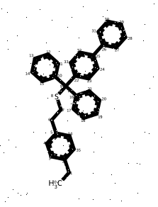 CCc1ccc(CCSC(c2ccccc2)(c2ccccc2)c2ccc(-c3ccccc3)cc2)cc1